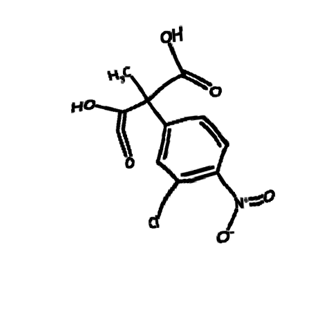 CC(C(=O)O)(C(=O)O)c1ccc([N+](=O)[O-])c(Cl)c1